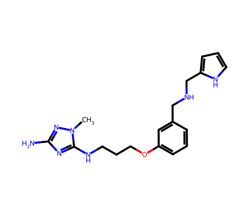 Cn1nc(N)nc1NCCCOc1cccc(CNCc2ccc[nH]2)c1